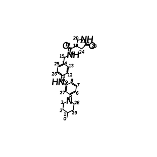 CC1CCN(c2cccc(Nc3ccc(CNC(=O)C4CNC(=O)C4)cc3)c2)CC1